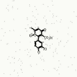 CCOC(=O)c1c(-c2ccc(Cl)c(Cl)c2)n(CC)c(I)cc1=O